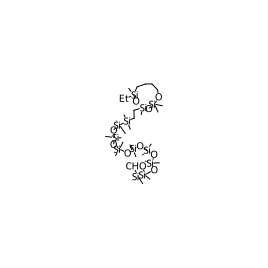 CC[Si]1(C)CCCCO[Si](C)(C)O[Si](C)(CC[Si](C)(C)[Si](C)(C)O[Si](C)(C)O[Si](C)(C)O[Si](C)(C)O[Si](C)(C)O[Si](C)(C)O[Si](C)(C=O)[Si](C)(C)C)O1